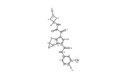 Cc1c(C(=O)C(=O)NC2(C)C[S+]([O-])C2)c2n(c1C(=O)Nc1ccc(F)c(C#N)c1)C1CC1C2